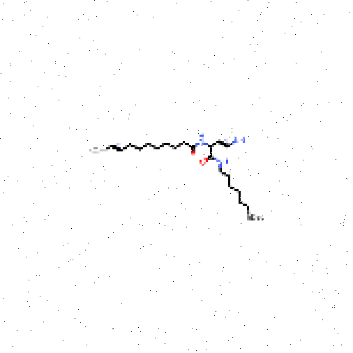 CCCCCCCC/C=C/CCCCCCCC(=O)NC(/C=C/N)C(=O)NCCCCCCCCCCCCCCCC